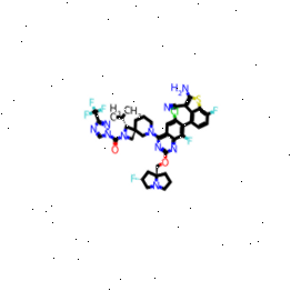 CC(C)[C@H]1N(C(=O)n2cnc(C(F)(F)F)n2)C[C@]12CCCN(c1nc(OC[C@@]34CCCN3C[C@H](F)C4)nc3c(F)c(-c4ccc(F)c5sc(N)c(C#N)c45)c(Cl)cc13)C2